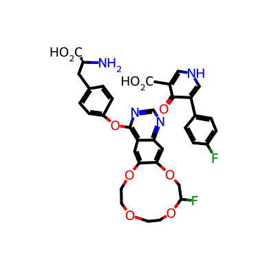 N[C@@H](Cc1ccc(Oc2ncnc3cc4c(cc23)OCCOCCOC(F)CO4)cc1)C(=O)O.O=C(O)c1c[nH]cc(-c2ccc(F)cc2)c1=O